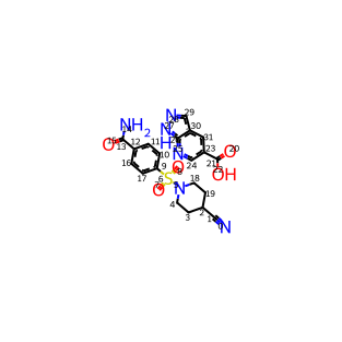 N#CC1CCN(S(=O)(=O)c2ccc(C(N)=O)cc2)CC1.O=C(O)c1cnc2[nH]ncc2c1